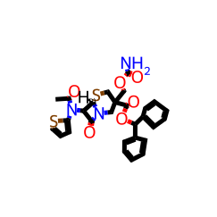 CC(=O)N(c1cccs1)C1C(=O)N2CC(COC(N)=O)(C(=O)OC(c3ccccc3)c3ccccc3)CS[C@H]12